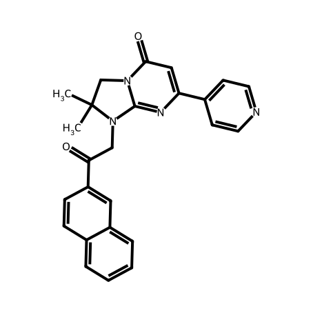 CC1(C)Cn2c(nc(-c3ccncc3)cc2=O)N1CC(=O)c1ccc2ccccc2c1